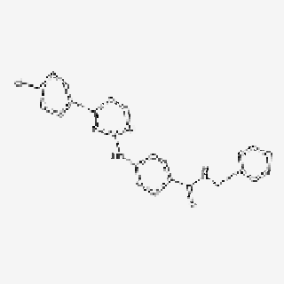 O=C(NCc1ccccc1)c1ccc(Nc2nccc(-c3ccc(Cl)cc3)n2)cc1